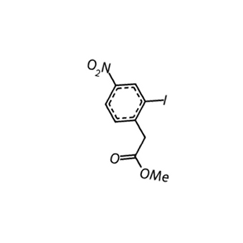 COC(=O)Cc1ccc([N+](=O)[O-])cc1I